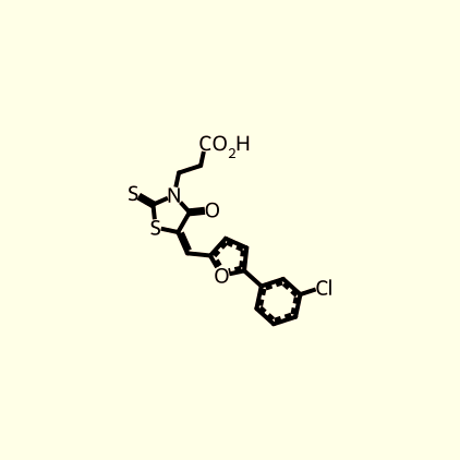 O=C(O)CCN1C(=O)/C(=C\c2ccc(-c3cccc(Cl)c3)o2)SC1=S